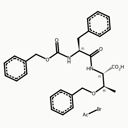 CC(=O)Br.C[C@@H](OCc1ccccc1)[C@H](NC(=O)[C@H](Cc1ccccc1)NC(=O)OCc1ccccc1)C(=O)O